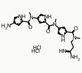 CN(CCC(=N)N)C(=O)c1cc(N(C)C(=O)c2cc(N(C)C(=O)c3cc(N)c[nH]3)c[nH]2)c[nH]1.Cl.Cl